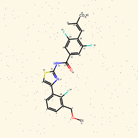 CCOCc1cccc(-c2csc(NC(=O)c3cc(F)c(/C=C(\C)C(=O)O)c(F)c3)n2)c1F